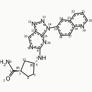 NC(=O)[C@@H]1CC[C@@H](Nc2ncc3nnn(-c4ccc5ncccc5c4)c3n2)C1